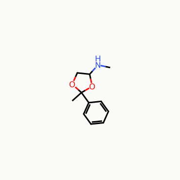 CNC1COC(C)(c2ccccc2)O1